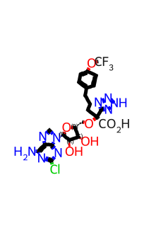 Nc1nc(Cl)nc2c1ncn2[C@@H]1O[C@H](COC(CCCc2ccc(OC(F)(F)F)cc2)(C(=O)O)c2nn[nH]n2)[C@@H](O)[C@H]1O